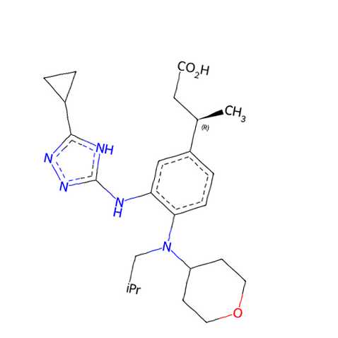 CC(C)CN(c1ccc([C@H](C)CC(=O)O)cc1Nc1nnc(C2CC2)[nH]1)C1CCOCC1